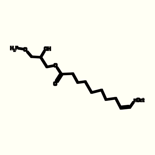 CCCCCCCC/C=C\CCCCCCCC(=O)OCC(O)COP